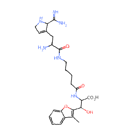 Cc1c(C(O)C(NC(=O)CCCCNC(=O)C(N)CC2=CCNC2C(=N)N)C(=O)O)oc2ccccc12